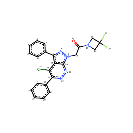 O=C(Cn1nc(-c2ccccc2)c2c(Cl)c(-c3ccccc3)nnc21)N1CC(F)(F)C1